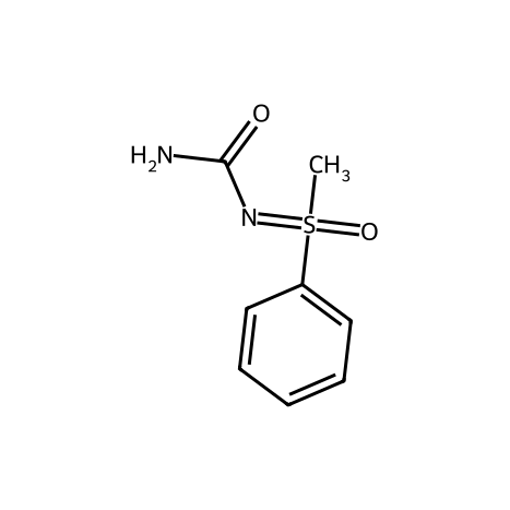 CS(=O)(=NC(N)=O)c1ccccc1